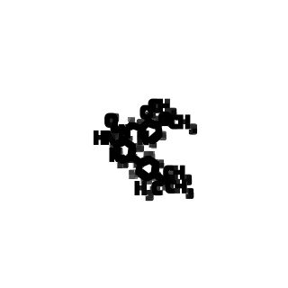 COc1ccnc(Cn2c(=O)[nH]c3ncc(-c4ccc(C(C)(C)C)cc4)cc32)c1OC